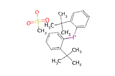 CC(C)(C)c1ccccc1[I+]c1ccccc1C(C)(C)C.CS(=O)(=O)[O-]